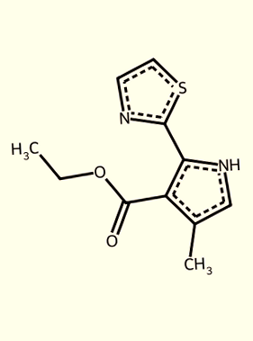 CCOC(=O)c1c(C)c[nH]c1-c1nccs1